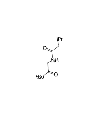 CC(C)CC(=O)NCC(=O)C(C)(C)C